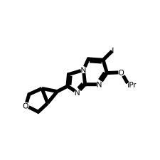 CC(C)Oc1nc2nc(C3C4COCC43)cn2cc1I